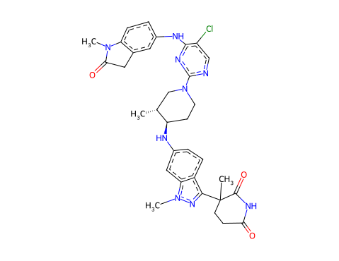 C[C@@H]1CN(c2ncc(Cl)c(Nc3ccc4c(c3)CC(=O)N4C)n2)CC[C@H]1Nc1ccc2c(C3(C)CCC(=O)NC3=O)nn(C)c2c1